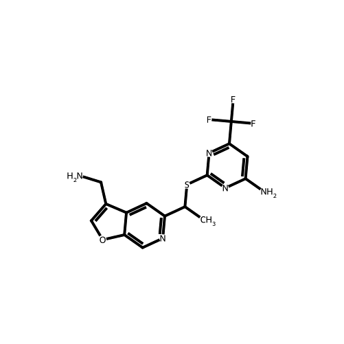 CC(Sc1nc(N)cc(C(F)(F)F)n1)c1cc2c(CN)coc2cn1